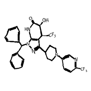 O=C1Nc2c(c(C3CCN(c4ccc(C(F)(F)F)nc4)CC3)nn2C(c2ccccc2)c2ccccc2)[C@H](C(F)(F)F)[C@@H]1O